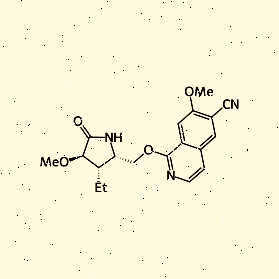 CC[C@H]1[C@@H](COc2nccc3cc(C#N)c(OC)cc23)NC(=O)[C@@H]1OC